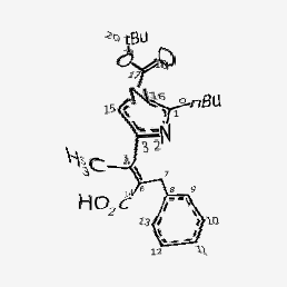 CCCCc1nc(C(C)=C(Cc2ccccc2)C(=O)O)cn1C(=O)OC(C)(C)C